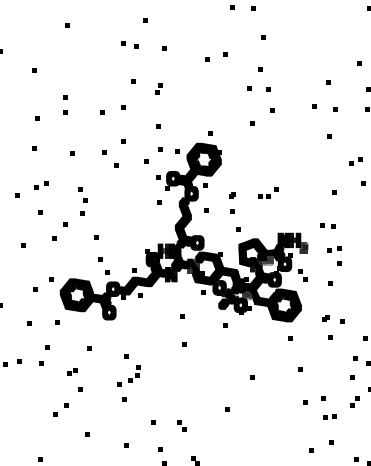 CS(=O)(=O)N(CC1CCN(C(=NC(=O)CCCOC(=O)c2ccccc2)NC(=O)CCCOC(=O)c2ccccc2)CC1)[C@H](Cc1ccccc1)C(=O)N1CCC[C@H]1C(N)=O